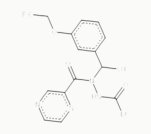 CCC(=O)NN(C(=O)c1cnccn1)C(C)c1cccc(OCC(F)(F)F)c1